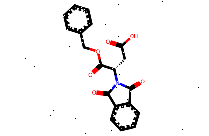 O=C(O)C[C@@H](C(=O)OCc1ccccc1)N1C(=O)c2ccccc2C1=O